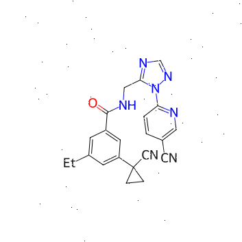 CCc1cc(C(=O)NCc2ncnn2-c2ccc(C#N)cn2)cc(C2(C#N)CC2)c1